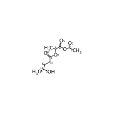 CC(=O)OC(=O)C(C)OC(=O)CCC(C)O